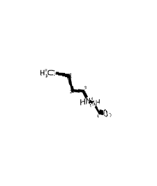 CCCCNN[C]=O